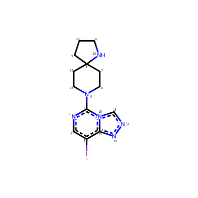 Ic1cnc(N2CCC3(CCCN3)CC2)n2cnnc12